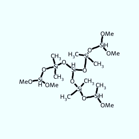 CO[SiH](C)O[Si](C)(C)O[SiH](O[Si](C)(C)O[SiH](OC)OC)O[Si](C)(C)O[SiH](OC)OC